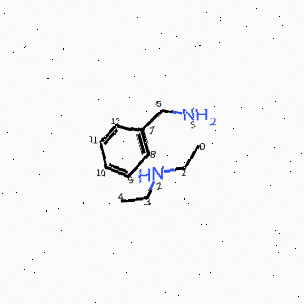 CCNCC.NCc1ccccc1